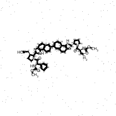 C#CC[C@@H]1CCN(C(=O)[C@H](NC(=O)OC)c2ccccc2)C1c1nc2ccc3cc(C4=CC=CC5C(=C4)C=Cc4nc([C@@H]6CCCN6C(=O)[C@H](C=C)NC(=O)OC)[nH]c45)ccc3c2[nH]1